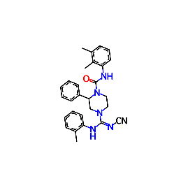 Cc1ccccc1N/C(=N/C#N)N1CCN(C(=O)Nc2cccc(C)c2C)C(c2ccccc2)C1